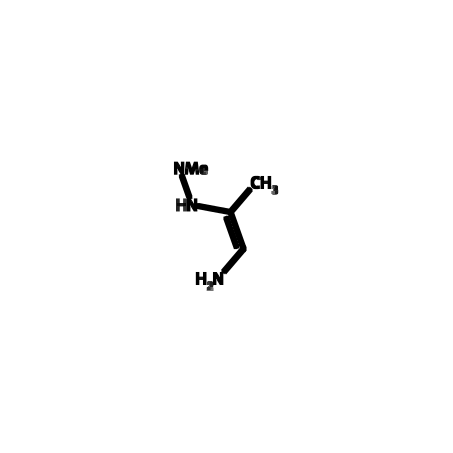 CNN/C(C)=C\N